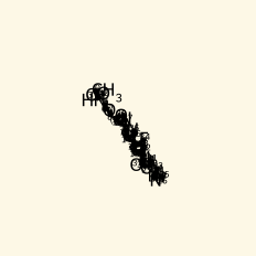 CS(=O)(=O)NCCOC[C@@H]1CC(c2ccc(-c3ccc(N4C[C@H](Cn5ccnn5)OC4=O)cc3F)cn2)=NO1